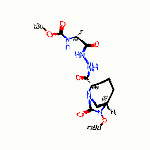 CCCCON1C(=O)N2C[C@@H]1CC[C@H]2C(=O)NNC(=O)[C@@H](C)NC(=O)OC(C)(C)C